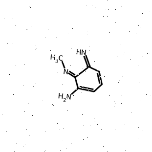 C/N=C1\C(=N)C=CC=C1N